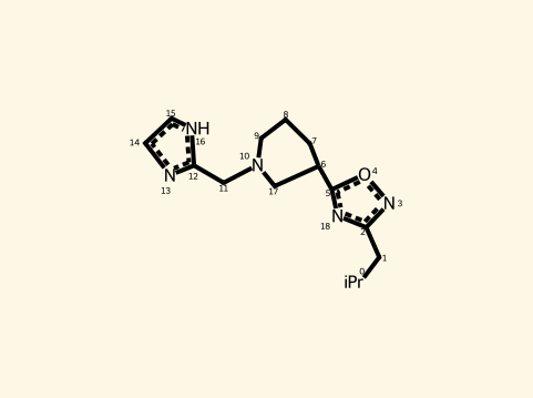 CC(C)Cc1noc(C2CCCN(Cc3ncc[nH]3)C2)n1